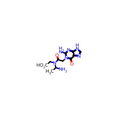 CC(N)N(CC(=O)O)C(=O)Cn1c(N)nc2[nH]cnc2c1=O